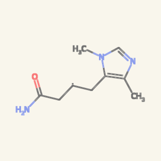 Cc1ncn(C)c1C[CH]CC(N)=O